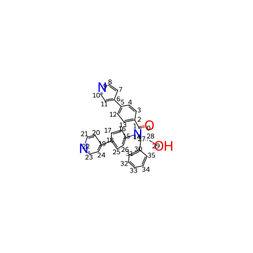 O=C(c1ccc(-c2ccncc2)cc1)N(c1ccc(-c2ccncc2)cc1)[C@H](CO)c1ccccc1